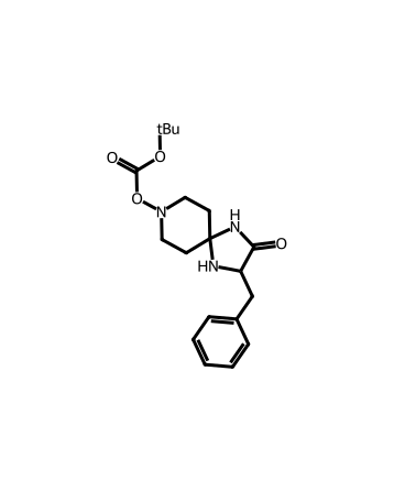 CC(C)(C)OC(=O)ON1CCC2(CC1)NC(=O)C(Cc1ccccc1)N2